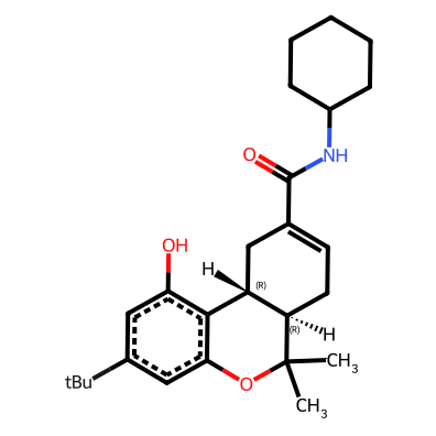 CC(C)(C)c1cc(O)c2c(c1)OC(C)(C)[C@@H]1CC=C(C(=O)NC3CCCCC3)C[C@@H]21